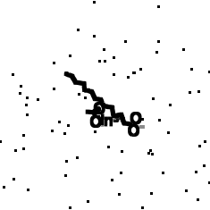 CC(=O)[O-].CCCCCCCCCCCCCC(=O)[O-].[In+3]